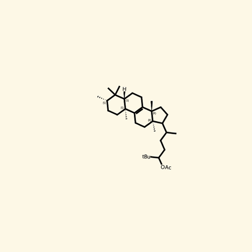 CC(=O)OC(CCC(C)C1CC[C@@]2(C)C3=C(CC[C@]12C)[C@@]1(C)CC[C@H](C)C(C)(C)[C@@H]1CC3)C(C)(C)C